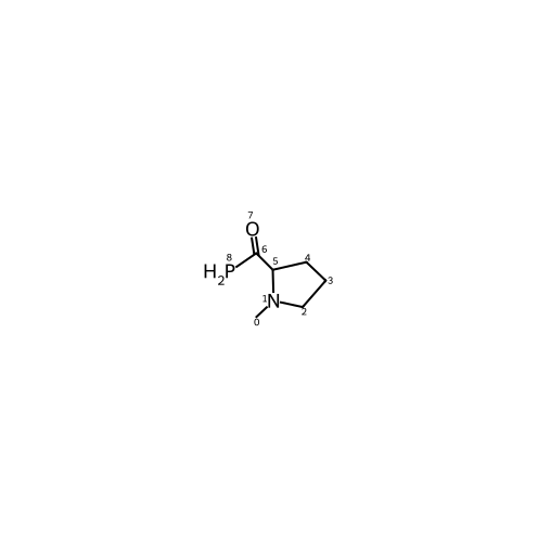 CN1CCCC1C(=O)P